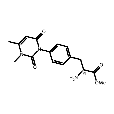 COC(=O)[C@@H](N)Cc1ccc(-n2c(=O)cc(C)n(C)c2=O)cc1